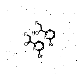 O=C(CF)c1cccc(Br)n1.OC(CF)c1cccc(Br)n1